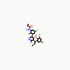 C=CC(=O)Nc1cc(F)cc(-c2cnc(C)c(/C(=C\CC)c3cc(F)cc(F)c3OC)c2)c1C